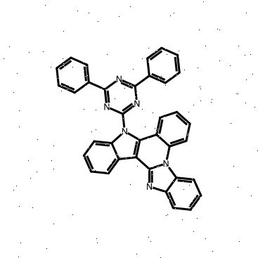 c1ccc(-c2nc(-c3ccccc3)nc(-n3c4ccccc4c4c3c3ccccc3n3c5ccccc5nc43)n2)cc1